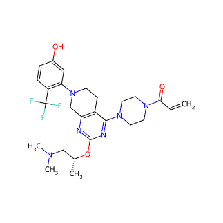 C=CC(=O)N1CCN(c2nc(O[C@H](C)CN(C)C)nc3c2CCN(c2cc(O)ccc2C(F)(F)F)C3)CC1